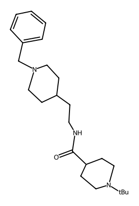 CC(C)(C)N1CCC(C(=O)NCCC2CCN(Cc3ccccc3)CC2)CC1